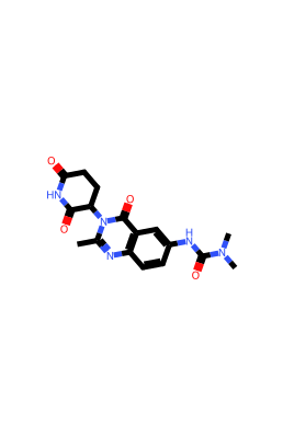 Cc1nc2ccc(NC(=O)N(C)C)cc2c(=O)n1C1CCC(=O)NC1=O